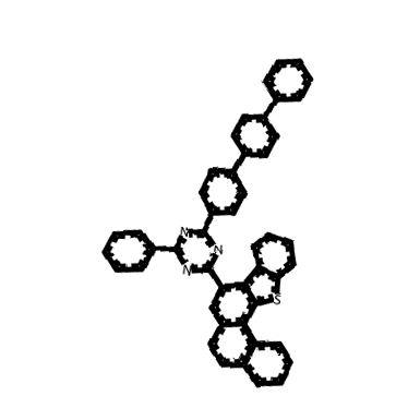 c1ccc(-c2ccc(-c3ccc(-c4nc(-c5ccccc5)nc(-c5cc6ccc7ccccc7c6c6sc7ccccc7c56)n4)cc3)cc2)cc1